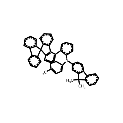 CC1=CC=C(N(c2ccc3c(c2)C(C)(C)c2ccccc2-3)c2ccccc2C2=C=C=CC3=C2c2ccccc2C32c3ccccc3-c3ccccc32)CC1